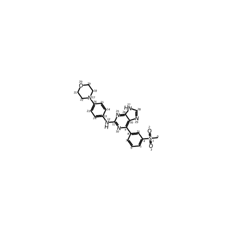 CS(=O)(=O)c1cccc(-c2nc(Nc3ccc(N4CCOCC4)cc3)nc3[nH]cnc23)c1